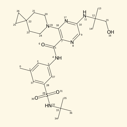 Cc1cc(NC(=O)c2ncc(NC(C)(C)CO)nc2N2CCC3(CC2)CC3)cc(S(=O)(=O)NC(C)(C)C)c1